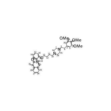 COc1cc(CCN2CCN(CCCCOc3ccccc3[N+]3(C)Sc4ccccc4C(C)C3=O)CC2)cc(OC)c1OC